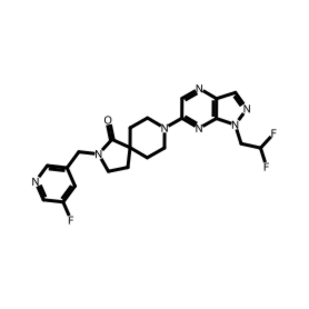 O=C1N(Cc2cncc(F)c2)CCC12CCN(c1cnc3cnn(CC(F)F)c3n1)CC2